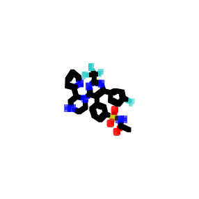 CC(=O)NS(=O)(=O)c1cccc(-c2c(-c3ccc(F)cc3)nc(C(F)(F)F)nc2N2CCNCC2c2ccccn2)c1